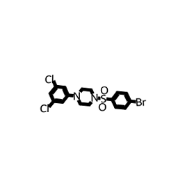 O=S(=O)(c1ccc(Br)cc1)N1CCN(c2cc(Cl)cc(Cl)c2)CC1